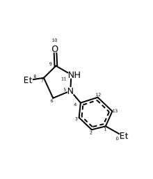 CCc1ccc(N2CC(CC)C(=O)N2)cc1